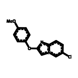 COc1ccc(Oc2cn3cc(Cl)ccc3n2)cc1